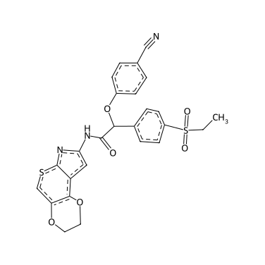 CCS(=O)(=O)c1ccc(C(Oc2ccc(C#N)cc2)C(=O)Nc2cc3c4c(csc-3n2)OCCO4)cc1